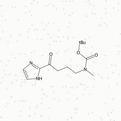 CN(CCCC(=O)c1ncc[nH]1)C(=O)OC(C)(C)C